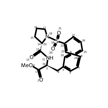 COC(=O)[C@H](Cc1ccccc1)NC(=O)[C@@H]1CCCN1S(=O)(=O)c1ccccc1